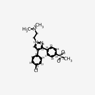 CN(C)CCn1cc(-c2ccc(Cl)cc2)c(-c2ccc(S(C)(=O)=O)cc2)n1